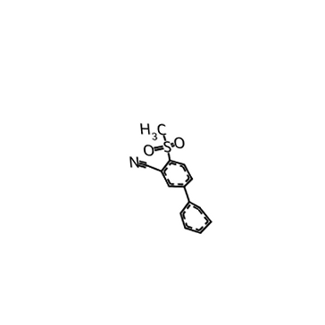 CS(=O)(=O)c1ccc(-c2ccccc2)cc1C#N